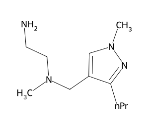 CCCc1nn(C)cc1CN(C)CCN